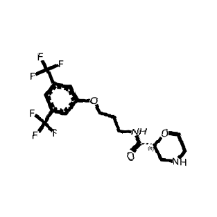 O=C(NCCCOc1cc(C(F)(F)F)cc(C(F)(F)F)c1)[C@H]1CNCCO1